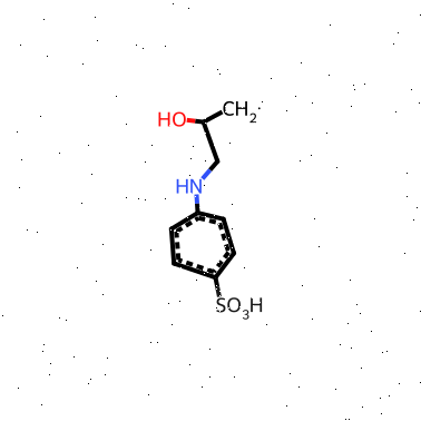 [CH2]C(O)CNc1ccc(S(=O)(=O)O)cc1